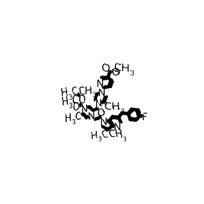 COC(=O)c1ccc(N2CCN(CC3CN(C(=O)OC(C)(C)C)C(C)CN3CC(=O)N3CC(C)(C)c4ncc(Cc5ccc(F)cc5)cc43)[C@H](C)C2)nc1